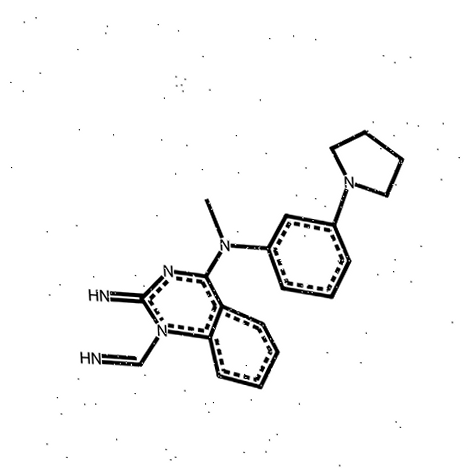 CN(c1cccc(N2CCCC2)c1)c1nc(=N)n(C=N)c2ccccc12